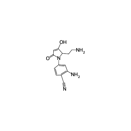 N#Cc1ccc(N2C(=O)C=C(O)C2CCN)cc1N